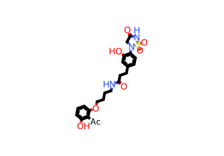 CC(=O)c1c(O)cccc1OCCCCNC(=O)CCc1ccc(N2CC(=O)NS2(=O)=O)c(O)c1